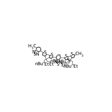 CCCCC(CC)CC1(CC(CC)CCCC)c2cc(-c3ccc(C)c4nsnc34)sc2-c2sc(-c3ccc(-c4cc5c(s4)-c4sc(C)cc4[Si]5(CC(CC)CCCC)CC(CC)CCCC)c4nsnc34)cc21